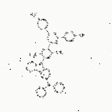 Cc1ccc(-c2cc(-c3cc(C)c(-n4c5ccccc5c5cc(N(c6ccccc6)c6ccccc6)ccc54)cc3C)nc(-c3ccc(C)cc3)n2)cc1